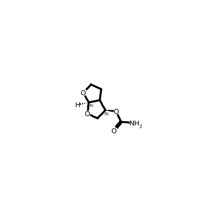 NC(=O)O[C@H]1CO[C@H]2OCCC21